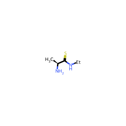 CCNC(=S)[C@H](C)N